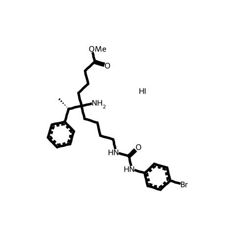 COC(=O)CCCC(N)(CCCCNC(=O)Nc1ccc(Br)cc1)[C@@H](C)c1ccccc1.I